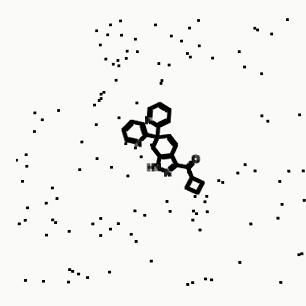 O=C(c1n[nH]c2c1C=CC(c1ccccn1)(c1ccccn1)C2)C1CCC1